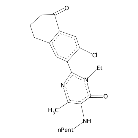 CCCCCNc1c(C)nc(-c2cc3c(cc2Cl)C(=O)CCC3)n(CC)c1=O